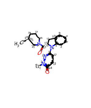 CCn1nc(N2c3ccccc3C[C@H]2C(=O)N2CCC[C@H](C)C2)ccc1=O